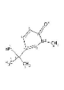 CCCC(C)(C)c1ccc(=O)n(C)c1